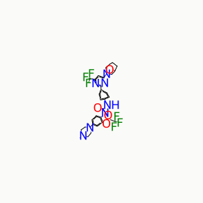 CN1CCN(c2ccc(N(OC(=O)C(F)(F)F)C(=O)Nc3ccc(-c4nc(N5CC6CCC(C5)O6)cc(C(F)(F)F)n4)cc3)cc2)CC1